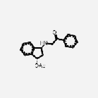 CC(=O)O[C@H]1C[C@H](NCC(=O)c2ccccc2)c2ccccc21